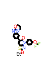 CCOc1nc2c(cc(-c3ccc4nc5n(c4c3)CCCO5)c(=O)n2-c2ccc(OC(F)F)cc2)s1